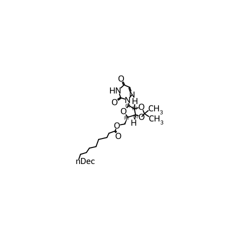 CCCCCCCCCCCCCCCCCC(=O)OC[C@H]1O[C@@H](n2ncc(=O)[nH]c2=O)[C@@H]2OC(C)(C)O[C@@H]21